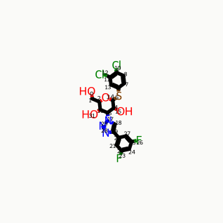 OCC1OC(Sc2ccc(Cl)c(Cl)c2)C(O)C(n2cc(-c3cc(F)cc(F)c3)nn2)C1O